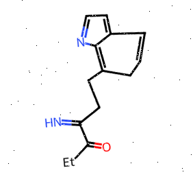 CCC(=O)C(=N)CCC1=C2N=CC=C2C=CC1